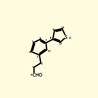 O=CCCc1cccc(-c2ccsc2)c1